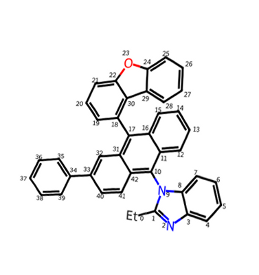 CCc1nc2ccccc2n1-c1c2ccccc2c(-c2cccc3oc4ccccc4c23)c2cc(-c3ccccc3)ccc12